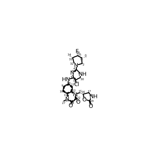 C[C@@H]1CN(C2=NC(Nc3ccc4c(c3)n(C[C@@H]3CNC(=O)O3)c(=O)c(=O)n4C)=C(Cl)CN2)C[C@H](C)[C@@H]1F